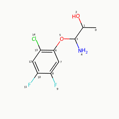 CC(O)C(N)Oc1cc(F)c(F)cc1Cl